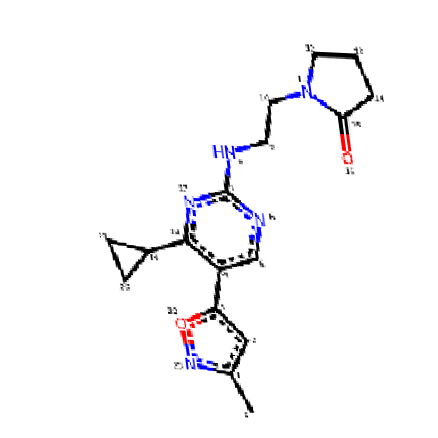 Cc1cc(-c2cnc(NCCN3CCCC3=O)nc2C2CC2)on1